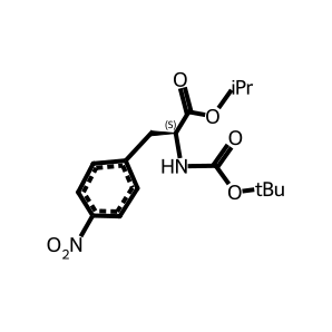 CC(C)OC(=O)[C@H](Cc1ccc([N+](=O)[O-])cc1)NC(=O)OC(C)(C)C